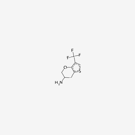 NC1COc2c(C(F)(F)F)csc2C1